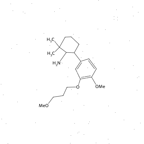 COCCCOc1cc(C2CCCC(C)(C)C2N)ccc1OC